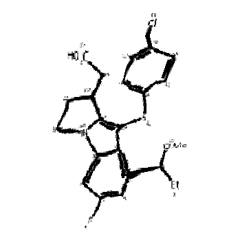 CCC(OC)c1cc(F)cc2c1c(Sc1ccc(Cl)cc1)c1n2CCC1CC(=O)O